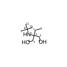 CCC(CO)(CO)NC(C)(C)C